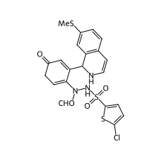 CSc1ccc2c(c1)C(C1=CC(=O)CC=C1N(C=O)NS(=O)(=O)c1ccc(Cl)s1)NC=C2